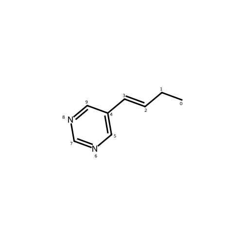 CCC=Cc1cncnc1